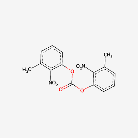 Cc1cccc(OC(=O)Oc2cccc(C)c2[N+](=O)[O-])c1[N+](=O)[O-]